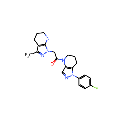 O=C(Cn1nc(C(F)(F)F)c2c1NCCC2)N1CCCc2c1cnn2-c1ccc(F)cc1